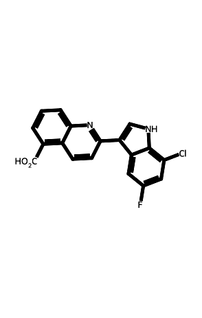 O=C(O)c1cccc2nc(-c3c[nH]c4c(Cl)cc(F)cc34)ccc12